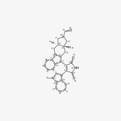 Cn1cc(C2=C(c3c4n(c5ccccc35)C[C@H]3CN(C=O)C[C@@H]3C4)C(=O)NC2=O)c2ccccc21